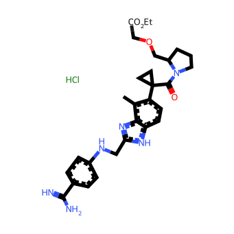 CCOC(=O)COCC1CCCN1C(=O)C1(c2ccc3[nH]c(CNc4ccc(C(=N)N)cc4)nc3c2C)CC1.Cl